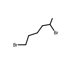 CC(Br)[CH]CCCBr